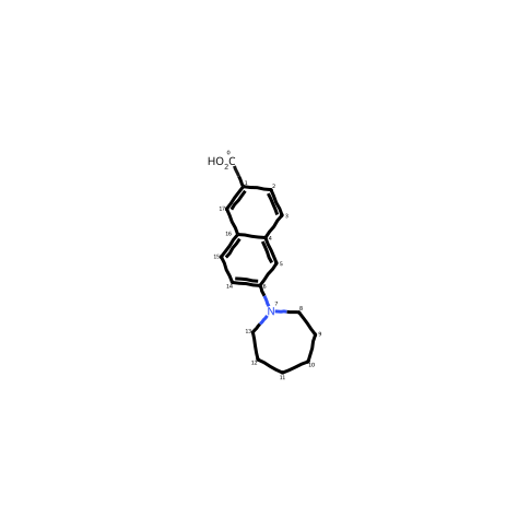 O=C(O)c1ccc2cc(N3CCCCCC3)ccc2c1